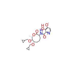 COc1ccnc(C(=O)N[C@H]2CCC[C@H](OCC3CC3)[C@@H](OCC3CC3)[C@H](C)OC2=O)c1O